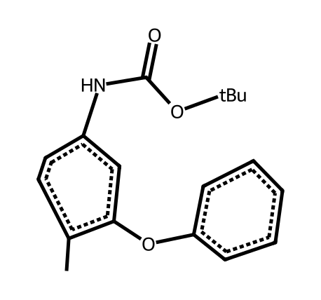 Cc1ccc(NC(=O)OC(C)(C)C)cc1Oc1ccccc1